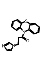 O=C(CCn1ccnc1)N1c2ccccc2Sc2ccccc21